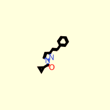 O=C(C1CC1)n1ccc(/C=C/c2ccccc2)n1